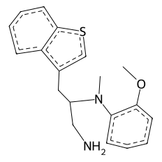 COc1ccccc1N(C)C(CN)Cc1csc2ccccc12